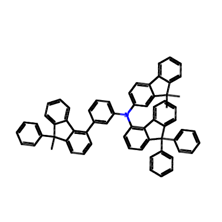 CC1(C)c2ccccc2-c2ccc(N(c3cccc(-c4cccc5c4-c4ccccc4C5(C)c4ccccc4)c3)c3cccc4c3-c3ccccc3C4(c3ccccc3)c3ccccc3)cc21